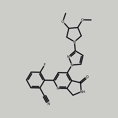 COC1CN(c2ccn(-c3cc(-c4c(F)cccc4C#N)nc4c3C(=O)NC4)n2)CC1OC